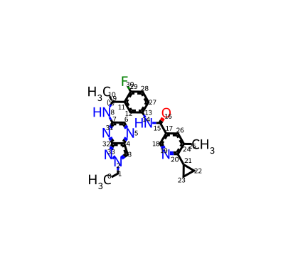 CCn1cc2ncc(N[C@@H](C)c3cc(NC(=O)c4cnc(C5CC5)c(C)c4)ccc3F)nc2n1